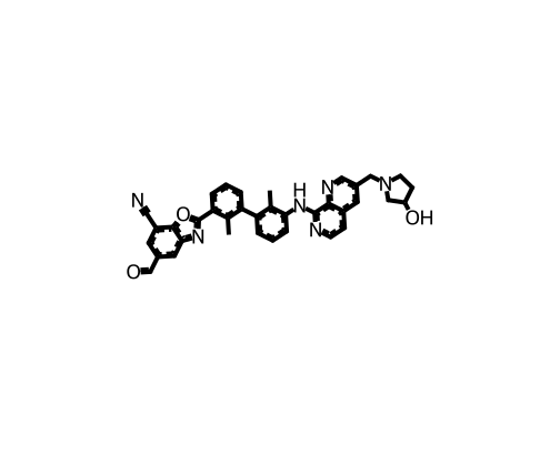 Cc1c(Nc2nccc3cc(CN4CCC(O)C4)cnc23)cccc1-c1cccc(-c2nc3cc(C=O)cc(C#N)c3o2)c1C